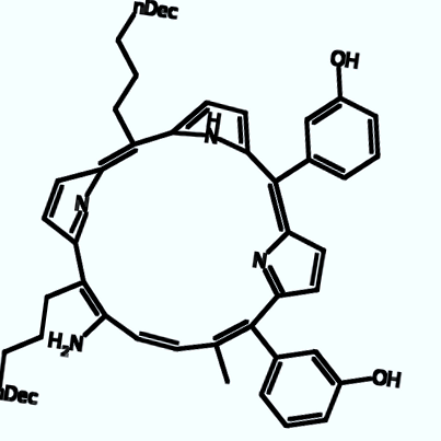 CCCCCCCCCCCCCc1c(N)ccc(C)c(-c2cccc(O)c2)c2nc(c(-c3cccc(O)c3)c3ccc([nH]3)c(CCCCCCCCCCCCC)c3nc1C=C3)C=C2